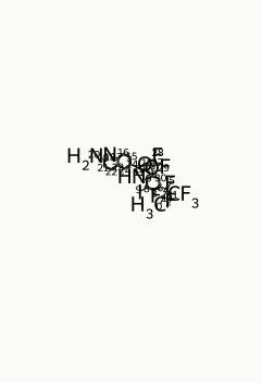 CC(F)(F)C(F)(c1cc(I)c(NC(=O)c2ccc3nc(N)ccc3c2)c(OC(F)F)c1)C(F)(F)F